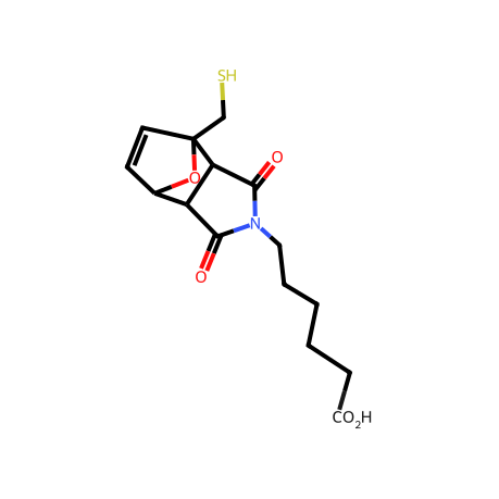 O=C(O)CCCCCN1C(=O)C2C3C=CC(CS)(O3)C2C1=O